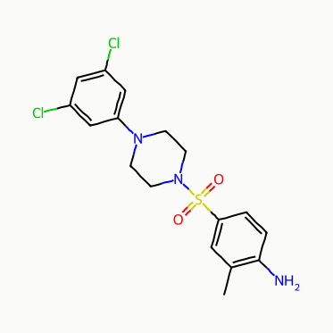 Cc1cc(S(=O)(=O)N2CCN(c3cc(Cl)cc(Cl)c3)CC2)ccc1N